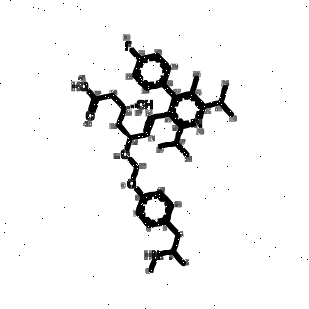 CNC(C)Cc1ccc(OCO[C@H](/C=C/c2c(C(C)C)nc(C(C)C)c(C)c2-c2ccc(F)cc2)C[C@@H](O)CC(=O)O)cc1